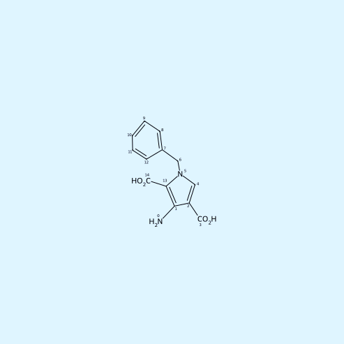 Nc1c(C(=O)O)cn(Cc2ccccc2)c1C(=O)O